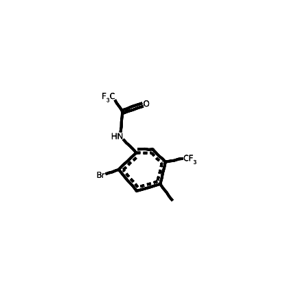 Cc1cc(Br)c(NC(=O)C(F)(F)F)cc1C(F)(F)F